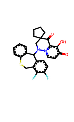 O=C1c2c(O)c(=O)ccn2N(C2c3ccccc3SCc3c2ccc(F)c3F)CC12CCCC2